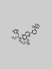 CC(Cn1cncn1)Nc1nc(OC2(C)CC2)c2nc(-c3cccc(S(C)(=O)=O)c3)ccc2n1